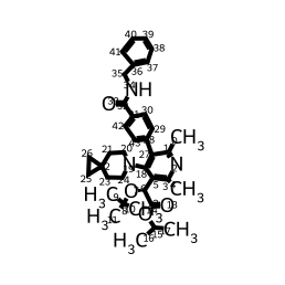 Cc1nc(C)c([C@H](OC(C)(C)C)C(=O)OC(C)C)c(N2CCC3(CC2)CC3)c1-c1ccc(C(=O)NCc2ccccc2)cc1